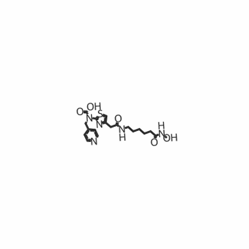 O=C(CCCCCNC(=O)Cc1csc(N(Cc2ccncc2)C(=O)O)n1)NO